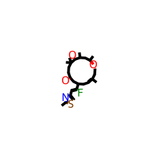 CC1=CCC(C(F)=Cc2csc(C)n2)CC(=O)CCC(C)(C)C(=O)C(C)CC(C)OCC1